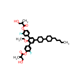 C=C(CO)C(=O)Oc1ccc(-c2cc(C3CCC(C4CCC(CCCCC)CC4)CC3)cc(-c3ccc(OC(=O)C(=C)CO)c(F)c3)c2OCC)cc1F